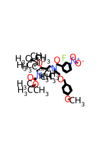 COc1ccc(COC[C@H](C)N(C[C@@H](C)[C@@H](CN(C)C(=O)OC(C)(C)C)O[Si](C)(C)C(C)(C)C)C(=O)c2cccc([N+](=O)[O-])c2F)cc1